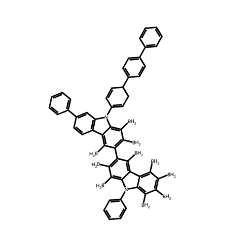 Bc1c(B)c(B)c2c(c1B)c1c(B)c(-c3c(B)c(B)c4c(c3B)c3ccc(-c5ccccc5)cc3n4C3=CCC(c4ccc(-c5ccccc5)cc4)C=C3)c(B)c(B)c1n2-c1ccccc1